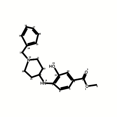 COC(=O)c1ccc(NC2CCN(Cc3ccccc3)CC2)c(O)c1